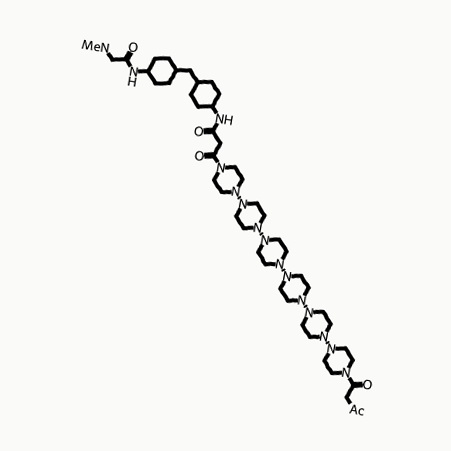 CNCC(=O)NC1CCC(CC2CCC(NC(=O)CC(=O)N3CCN(N4CCN(N5CCN(N6CCN(N7CCN(N8CCN(C(=O)CC(C)=O)CC8)CC7)CC6)CC5)CC4)CC3)CC2)CC1